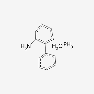 Nc1ccccc1-c1ccccc1.O.P